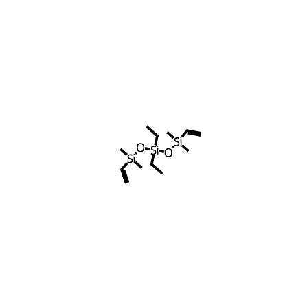 C=C[Si](C)(C)O[Si](CC)(CC)O[Si](C)(C)C=C